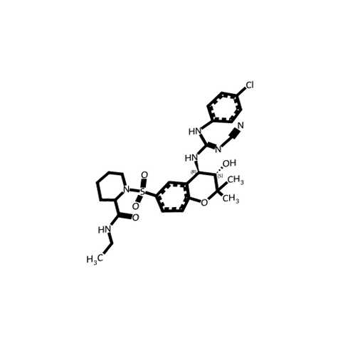 CCNC(=O)C1CCCCN1S(=O)(=O)c1ccc2c(c1)[C@@H](NC(=NC#N)Nc1ccc(Cl)cc1)[C@H](O)C(C)(C)O2